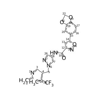 C=C/N=C\C(Cn1cc(NC(=O)c2cc(-c3ccc4c(c3)OCO4)on2)cn1)=C(/C)C(F)(F)F